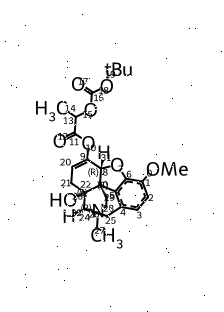 COc1ccc2c3c1O[C@H]1C(OC(=O)C(C)OC(=O)OC(C)(C)C)=CC[C@@]4(O)[C@@H](C2)N(C)CC[C@]314